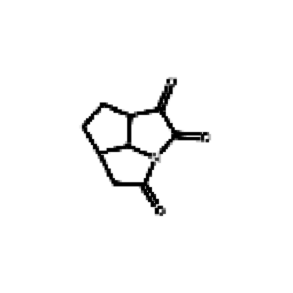 O=C1C(=O)N2C(=O)CC3CCC1C32